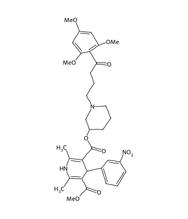 COC(=O)C1=C(C)NC(C)=C(C(=O)OC2CCCN(CCCC(=O)c3c(OC)cc(OC)cc3OC)C2)C1c1cccc([N+](=O)[O-])c1